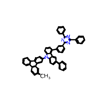 CC1C=Cc2c(c3cc(-n4c5ccc(-c6ccccc6)cc5c5c(-c6cccc(-c7nc(-c8ccccc8)nc(-c8ccccc8)n7)c6)cccc54)ccc3c3ccccc23)C1